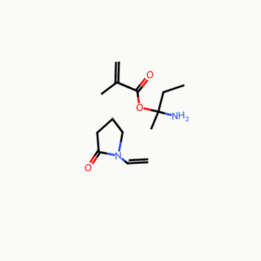 C=C(C)C(=O)OC(C)(N)CC.C=CN1CCCC1=O